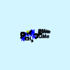 COCC(COC)(OC)c1ccnc(-n2cc(SNc3cccc4cnn(C)c34)cn2)c1